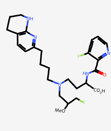 COC(CF)CN(CCCCc1ccc2c(n1)NCCC2)CCC(NC(=O)c1ncccc1F)C(=O)O